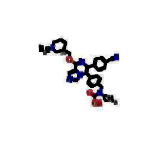 CN1CCC[C@@H](COc2nc(-c3ccc(C#N)cc3)c(-c3ccc(CN(C)C(=O)O)cc3)n3cncc23)C1